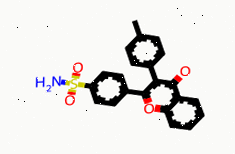 Cc1ccc(-c2c(-c3ccc(S(N)(=O)=O)cc3)oc3ccccc3c2=O)cc1